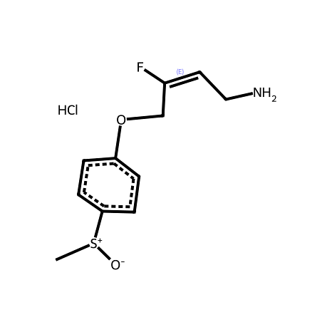 C[S+]([O-])c1ccc(OC/C(F)=C\CN)cc1.Cl